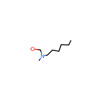 CCCCCCN(C)C[O]